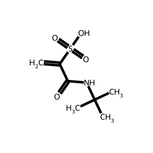 C=C(C(=O)NC(C)(C)C)S(=O)(=O)O